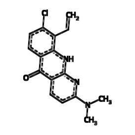 C=Cc1c(Cl)ccc2c(=O)c3ccc(N(C)C)nc3[nH]c12